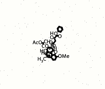 CC(=O)OC(C)C(=O)O.COc1ccc2c3c1O[C@H]1C(OC(=O)CC(O)C(=O)Oc4ccccc4)=CC[C@@]4(O)[C@@H](C2)N(C)CC[C@]314